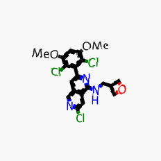 COc1cc(OC)c(Cl)c(-c2cc3cnc(Cl)cc3c(NCC3COC3)n2)c1Cl